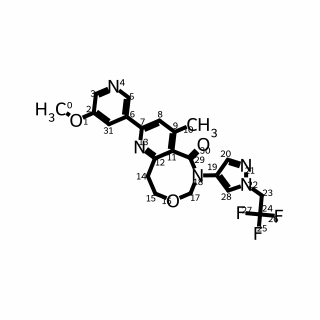 COc1cncc(-c2cc(C)c3c(n2)CCOCN(c2cnn(CC(F)(F)F)c2)C3=O)c1